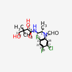 C[C@@H](CNC(=O)[C@H](O)C(C)(C)CO)N(C=O)c1cc(Cl)c(F)cc1F